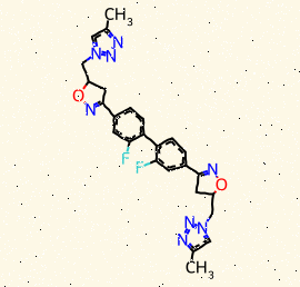 Cc1cn(CC2CC(c3ccc(-c4ccc(C5=NOC(Cn6cc(C)nn6)C5)cc4F)c(F)c3)=NO2)nn1